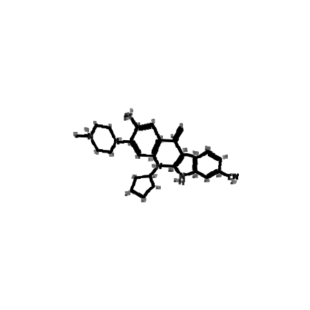 C=C1c2cc(CC)c(N3CCN(C)CC3)cc2N(C2CCCC2)c2[nH]c3cc(C#N)ccc3c21